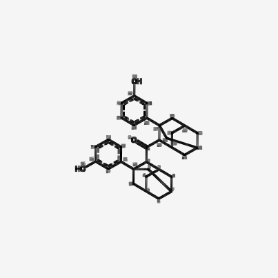 O=C(C1C2CC3CC(C2)CC1(c1cccc(O)c1)C3)C1C2CC3CC(C2)CC1(c1cccc(O)c1)C3